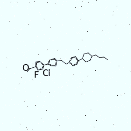 CCCCC1CCC(c2ccc(CCc3ccc(-c4ccc(C5CO5)c(F)c4Cl)cc3)cc2)CC1